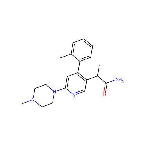 Cc1ccccc1-c1cc(N2CCN(C)CC2)ncc1C(C)C(N)=O